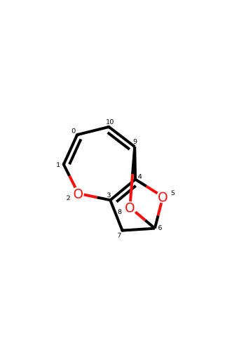 C1=COC2=C3OC(C2)OC3=C1